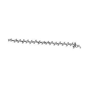 CS(=S)(=S)SSSSSSSSSSSSSSSSSSSSSSSSSSSSSSS